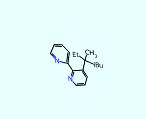 CCC(C)C(C)(CC)c1cccnc1-c1ccccn1